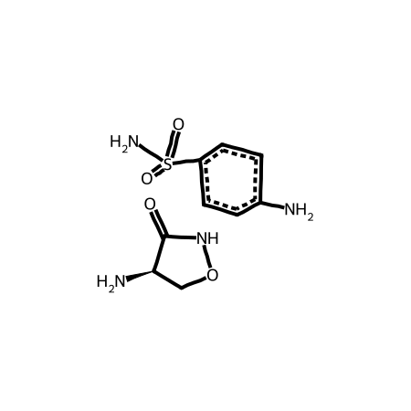 N[C@@H]1CONC1=O.Nc1ccc(S(N)(=O)=O)cc1